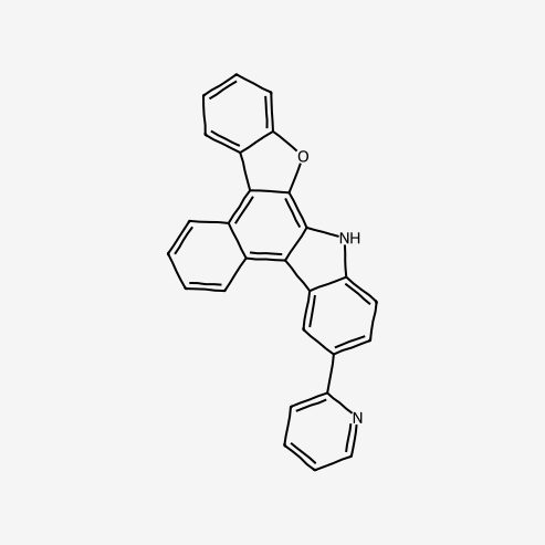 c1ccc(-c2ccc3[nH]c4c5oc6ccccc6c5c5ccccc5c4c3c2)nc1